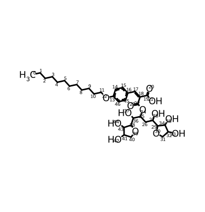 CCCCCCCCCCCCOc1ccc(C=C(C(=O)O)C(=O)OC(CC(O)C2OCC(O)C2O)C(O)C2OCC(O)C2O)cc1